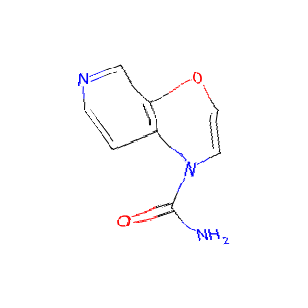 NC(=O)N1C=COc2cnccc21